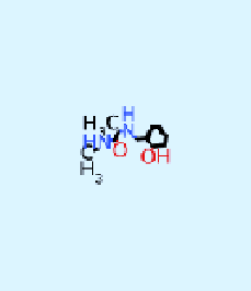 CCNC(=O)[C@H](C)NCc1ccccc1O